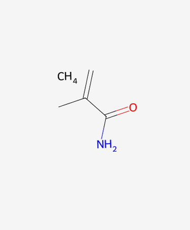 C.C=C(C)C(N)=O